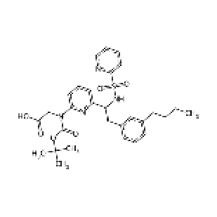 CCCCc1cccc(CC(NS(=O)(=O)c2ccccn2)c2cccc(N(CC(=O)O)C(=O)OC(C)(C)C)n2)c1